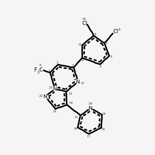 FC(F)(F)c1cc(-c2ccc(Cl)c(Cl)c2)nc2c(-c3ccccn3)cnn12